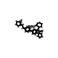 CCOC(=O)C1CCCCC1NC(=O)C1(c2ccc(-c3ccc(CCN4CCC[C@H]4C)cc3)cc2)CCCC1